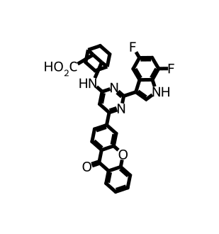 O=C(O)C1C2CCC(CC2)C1Nc1cc(-c2ccc3c(=O)c4ccccc4oc3c2)nc(-c2c[nH]c3c(F)cc(F)cc23)n1